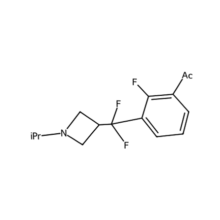 CC(=O)c1cccc(C(F)(F)C2CN(C(C)C)C2)c1F